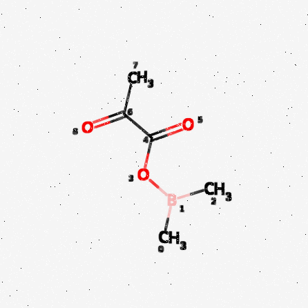 CB(C)OC(=O)C(C)=O